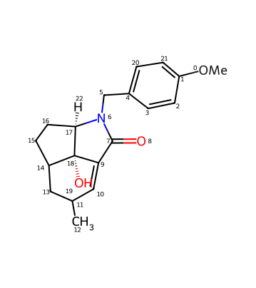 COc1ccc(CN2C(=O)C3=CC(C)CC4CC[C@@H]2[C@@]34O)cc1